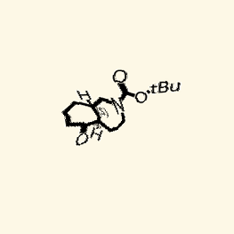 CC(C)(C)OC(=O)N1CC[C@H]2C(=O)CCC[C@@H]2C1